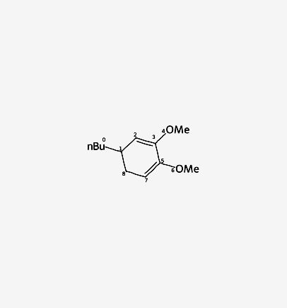 CCCCC1C=C(OC)C(OC)=CC1